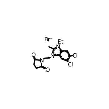 CCn1c(C)[n+](CCN2C(=O)CCC2=O)c2cc(Cl)c(Cl)cc21.[Br-]